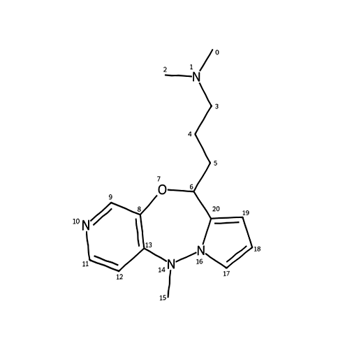 CN(C)CCCC1Oc2cnccc2N(C)n2cccc21